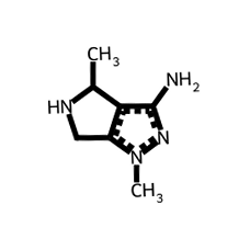 CC1NCc2c1c(N)nn2C